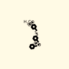 CS(=O)(=O)c1ccc(CSSc2cccc(CS(=O)(=O)Cc3ccccc3)c2)cc1